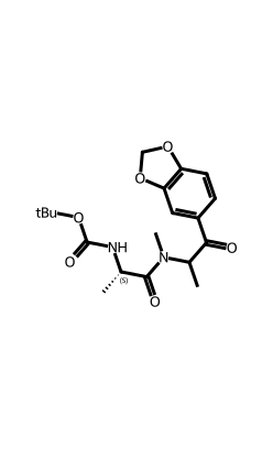 CC(C(=O)c1ccc2c(c1)OCO2)N(C)C(=O)[C@H](C)NC(=O)OC(C)(C)C